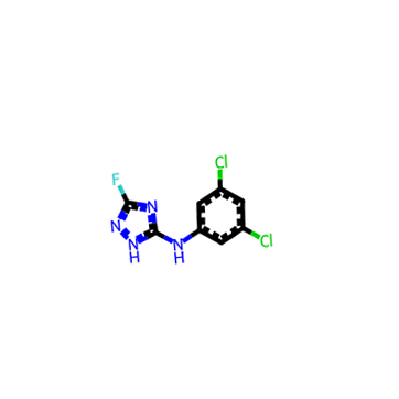 Fc1n[nH]c(Nc2cc(Cl)cc(Cl)c2)n1